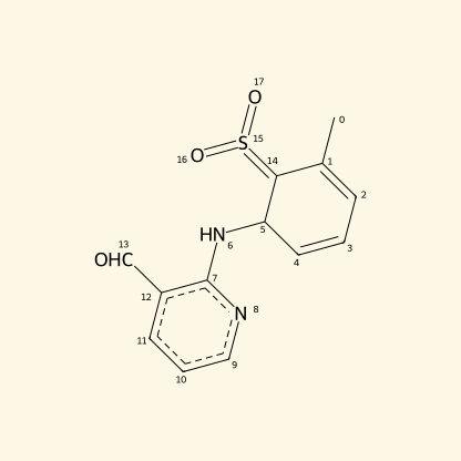 CC1=CC=CC(Nc2ncccc2C=O)C1=S(=O)=O